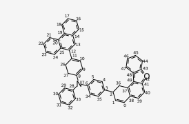 C1=CC(c2ccc(N(C3=CC=C(c4cc5ccccc5c5ccccc45)CC3)c3ccccc3)cc2)Cc2c1ccc1oc3ccccc3c21